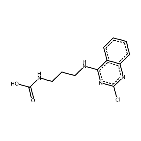 O=C(O)NCCCNc1nc(Cl)nc2ccccc12